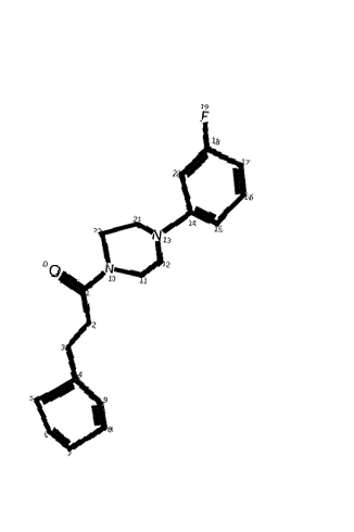 O=C(C[CH]c1ccccc1)N1CCN(c2cccc(F)c2)CC1